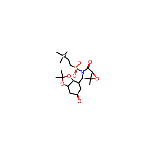 CC1(C)OC2CC(=O)CC(C3N(S(=O)(=O)CC[Si](C)(C)C)C(=O)C4OC43C)C2O1